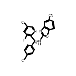 N#Cc1ccc2oc(N[C@@H](c3ccc(Cl)cc3)c3ncc(Cl)cc3F)nc2c1